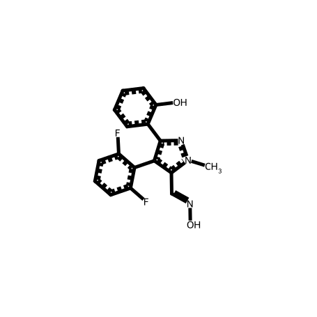 Cn1nc(-c2ccccc2O)c(-c2c(F)cccc2F)c1C=NO